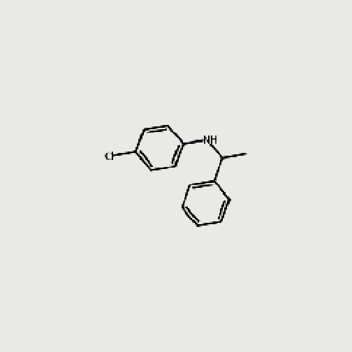 CC(Nc1ccc(Cl)cc1)c1cc[c]cc1